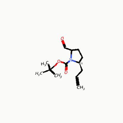 C=CC[C@@H]1CCC(C=O)N1C(=O)OC(C)(C)C